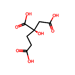 O=C(O)CC[C@@](O)(CC(=O)O)C(=O)O